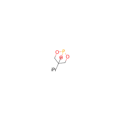 CC(C)C12COP(OC1)OC2